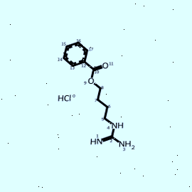 Cl.N=C(N)NCCCCOC(=O)c1ccccc1